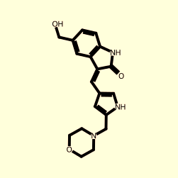 O=C1Nc2ccc(CO)cc2C1=Cc1c[nH]c(CN2CCOCC2)c1